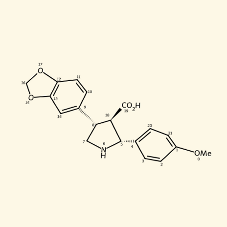 COc1ccc([C@@H]2NC[C@H](c3ccc4c(c3)OCO4)[C@H]2C(=O)O)cc1